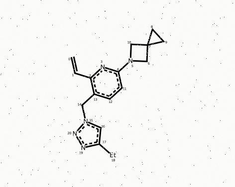 C=Cc1nc(N2CC3(CC3)C2)ccc1Cn1cc(CC)nn1